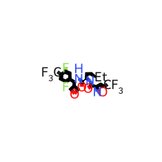 CC[C@@H]1CC[C@H](C(=O)NC(c2cc(F)c(C(F)(F)F)cc2F)C2COC2)N1C(=O)c1cc(C(F)(F)F)on1